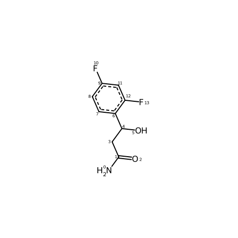 NC(=O)CC(O)c1ccc(F)cc1F